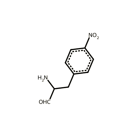 NC(C=O)Cc1ccc([N+](=O)[O-])cc1